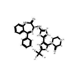 O=C1Nc2ccccc2C(c2ccccc2)=N[C@@H]1Nc1nnc(-c2nc(C(F)(F)F)sc2N2CCOCC2=O)o1